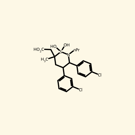 CCCN1C(c2ccc(Cl)cc2)C(c2cccc(Cl)c2)CC(C)(CC(=O)O)S1(O)O